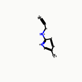 C#CCNc1ccc(C(F)(F)F)cn1